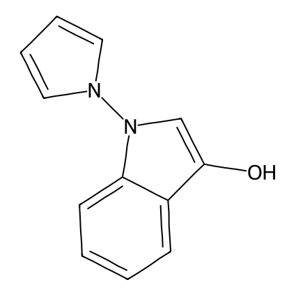 Oc1cn(-n2cccc2)c2ccccc12